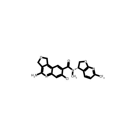 CN(C(=O)c1cc2c3c(c(N)nc2cc1Cl)COC3)[C@@H]1COc2nc(C(F)(F)F)ccc21